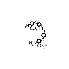 Nc1ccc(Oc2ccc(CCCc3ccc(Oc4ccc(N)c(C(=O)O)c4)cc3)cc2)cc1C(=O)O